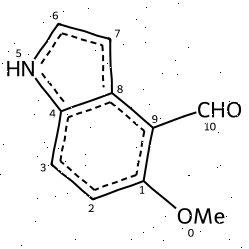 COc1ccc2[nH]ccc2c1C=O